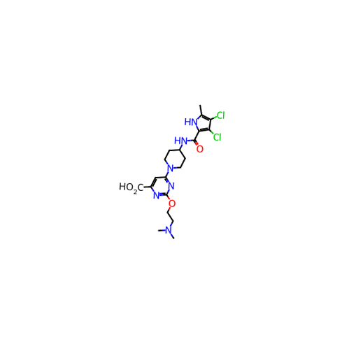 Cc1[nH]c(C(=O)NC2CCN(c3cc(C(=O)O)nc(OCCN(C)C)n3)CC2)c(Cl)c1Cl